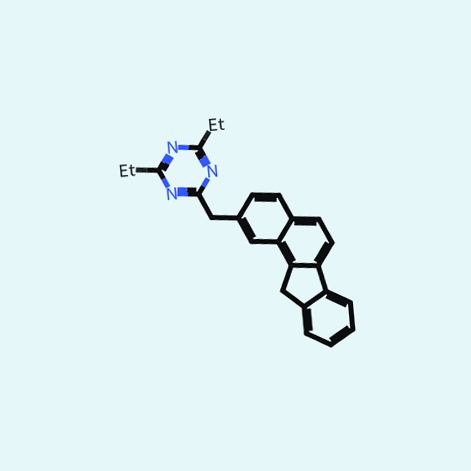 CCc1nc(CC)nc(Cc2ccc3ccc4c(c3c2)Cc2ccccc2-4)n1